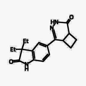 CCC1(CC)C(=O)Nc2ccc(C3=NNC(=O)C4CCC34)cc21